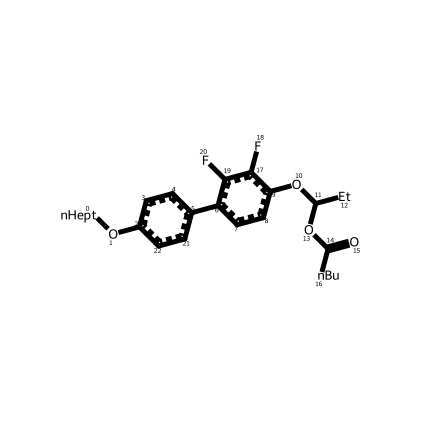 CCCCCCCOc1ccc(-c2ccc(OC(CC)OC(=O)CCCC)c(F)c2F)cc1